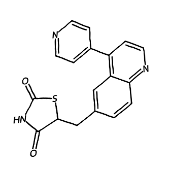 O=C1NC(=O)C(Cc2ccc3nccc(-c4ccncc4)c3c2)S1